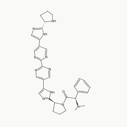 CN(C)[C@@H](C(=O)N1CCC[C@H]1c1ncc(-c2cnc(-c3ncc(-c4cnc([C@@H]5CCCN5)[nH]4)cn3)nc2)[nH]1)c1ccccc1